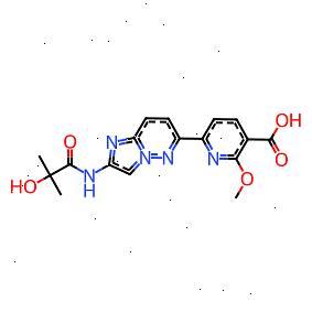 COc1nc(-c2ccc3nc(NC(=O)C(C)(C)O)cn3n2)ccc1C(=O)O